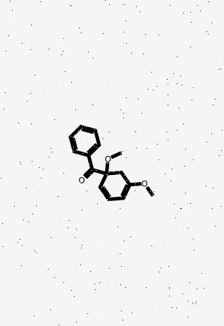 COC1=CC=CC(OC)(C(=O)c2ccccc2)C1